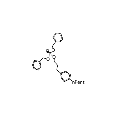 CCCCCc1ccc(CCCOP(=O)(OCc2ccccc2)OCc2ccccc2)cc1